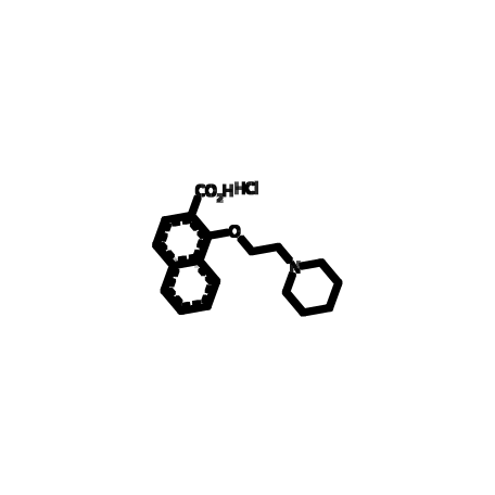 Cl.O=C(O)c1ccc2ccccc2c1OCCN1CCCCC1